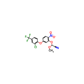 COC(C#N)Oc1cc(Oc2ccc(C(F)(F)F)cc2Cl)ccc1[N+](=O)[O-]